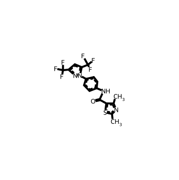 Cc1nc(C)c(C(=O)Nc2ccc(-n3nc(C(F)(F)F)cc3C(F)(F)F)cc2)s1